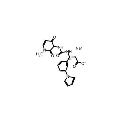 CN1C=CC(=O)C(NC(=O)N[C@@H](CC(=O)[O-])c2cccc(-n3cccc3)c2)C1=O.[Na+]